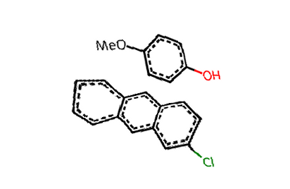 COc1ccc(O)cc1.Clc1ccc2cc3ccccc3cc2c1